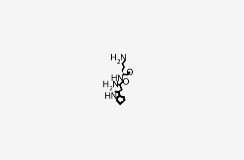 NCCCC[C@@H](C=O)NC(=O)C(N)Cc1c[nH]c2ccccc12